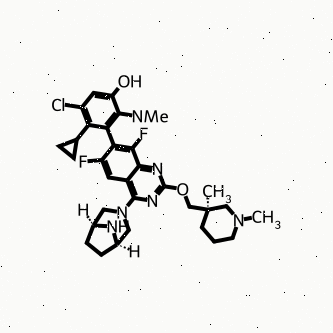 CNc1c(O)cc(Cl)c(C2CC2)c1-c1c(F)cc2c(N3C[C@H]4CC[C@@H](C3)N4)nc(OC[C@]3(C)CCCN(C)C3)nc2c1F